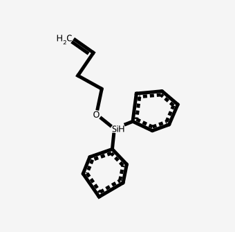 C=CCCO[SiH](c1ccccc1)c1ccccc1